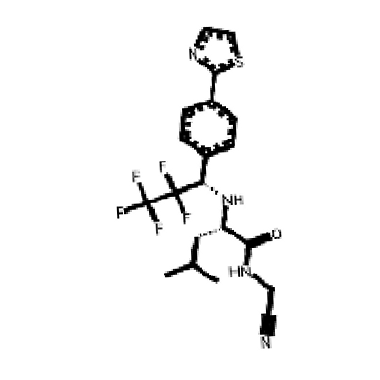 CC(C)C[C@H](N[C@@H](c1ccc(-c2nccs2)cc1)C(F)(F)C(F)(F)F)C(=O)NCC#N